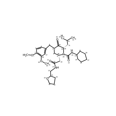 COc1ccc(CN2C[C@@H](CC(=O)NCC3CCCO3)N(C(=O)NC3CCCCC3)[C@@H](CC(C)C)C2=O)cc1OC